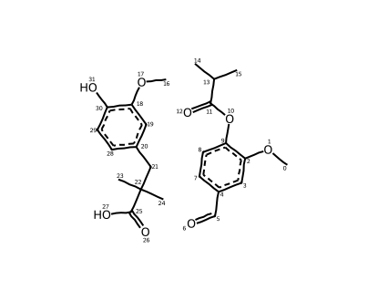 COc1cc(C=O)ccc1OC(=O)C(C)C.COc1cc(CC(C)(C)C(=O)O)ccc1O